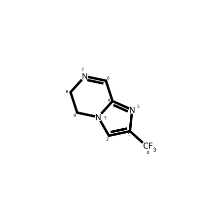 FC(F)(F)c1cn2c(n1)C=NCC2